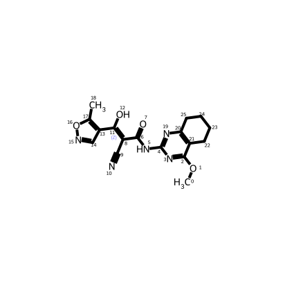 COc1nc(NC(=O)/C(C#N)=C(\O)c2cnoc2C)nc2c1CCCC2